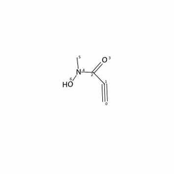 C#CC(=O)N(C)O